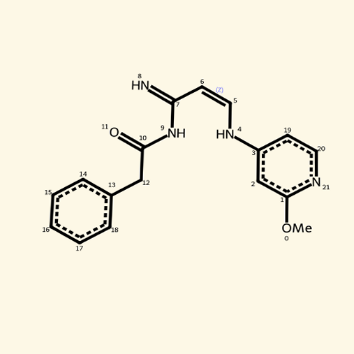 COc1cc(N/C=C\C(=N)NC(=O)Cc2ccccc2)ccn1